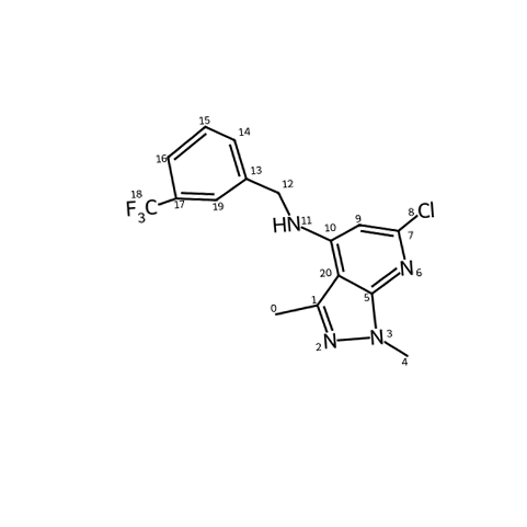 Cc1nn(C)c2nc(Cl)cc(NCc3cccc(C(F)(F)F)c3)c12